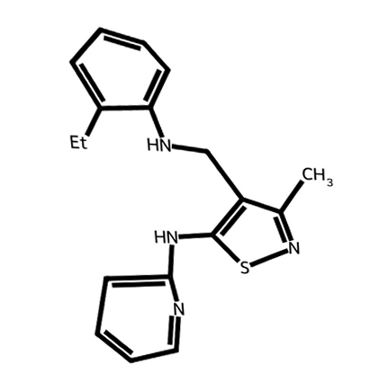 CCc1ccccc1NCc1c(C)nsc1Nc1ccccn1